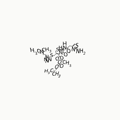 CC(C)COC(=O)OC(C)OC(=O)C1=C(CSc2nnnn2CCN(C)C)CS[C@H]2[C@H](NC(=O)Cc3csc(N)n3)C(=O)N12